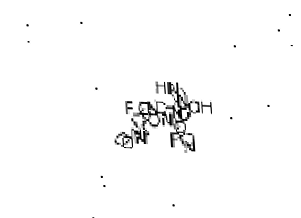 CN1CCC[C@@](F)(COc2nc(C3CNCCN3C(=O)O)c3ccnc(Oc4c(Cl)c(F)cc5c4cnn5C4CCCCO4)c3n2)C1